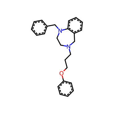 c1ccc(CN2CCN(CCCOc3ccccc3)Cc3ccccc32)cc1